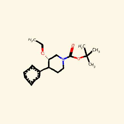 CCO[C@@H]1CN(C(=O)OC(C)(C)C)CCC1c1ccccc1